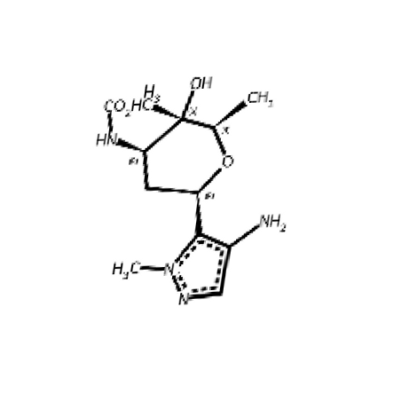 C[C@H]1O[C@@H](c2c(N)cnn2C)C[C@@H](NC(=O)O)[C@]1(C)O